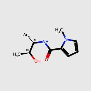 CC(=O)[C@H](NC(=O)c1cccn1C)[C@H](C)O